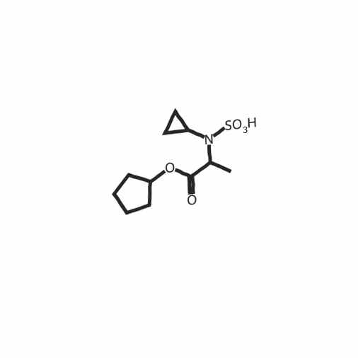 CC(C(=O)OC1CCCC1)N(C1CC1)S(=O)(=O)O